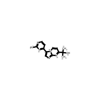 CC(C)c1nccc(-c2cnc3nc(C(C)(C)O)ccn23)n1